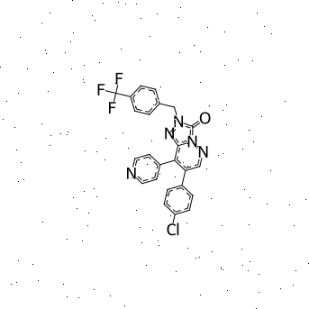 O=c1n(Cc2ccc(C(F)(F)F)cc2)nc2c(-c3ccncc3)c(-c3ccc(Cl)cc3)cnn12